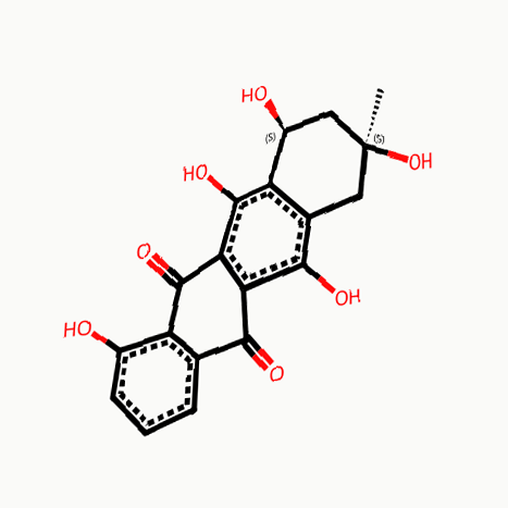 C[C@]1(O)Cc2c(O)c3c(c(O)c2[C@@H](O)C1)C(=O)c1c(O)cccc1C3=O